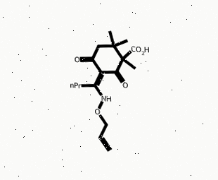 C=CCONC(CCC)=C1C(=O)CC(C)(C)C(C)(C(=O)O)C1=O